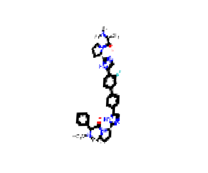 CCN(CC)[C@H](C)C(=O)N1CCC[C@H]1c1ncc(-c2ccc(-c3ccc(-c4cnc([C@@H]5CCCN5C(=O)[C@@H](c5ccccc5)N(C)C(=O)O)[nH]4)cc3)cc2F)[nH]1